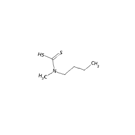 CCCCN(C)C(=S)S